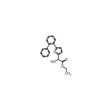 CCOC(=O)C(O)c1ccc(-c2ccccc2-c2ccccc2)o1